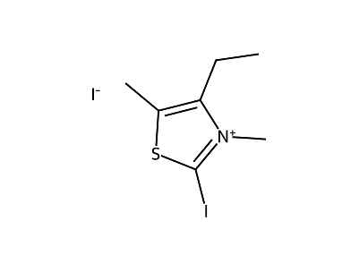 CCc1c(C)sc(I)[n+]1C.[I-]